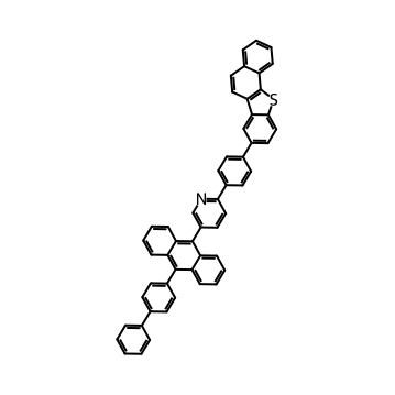 c1ccc(-c2ccc(-c3c4ccccc4c(-c4ccc(-c5ccc(-c6ccc7sc8c9ccccc9ccc8c7c6)cc5)nc4)c4ccccc34)cc2)cc1